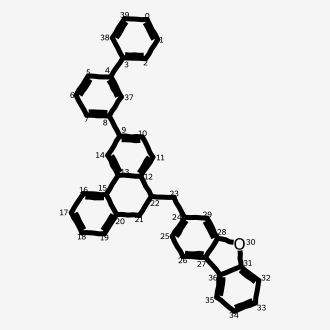 c1ccc(-c2cccc(-c3ccc4c(c3)-c3ccccc3CC4Cc3ccc4c(c3)oc3ccccc34)c2)cc1